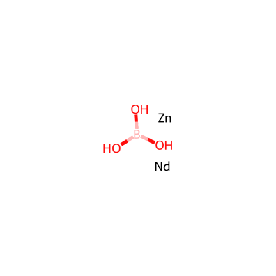 OB(O)O.[Nd].[Zn]